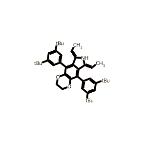 C/C=c1\[nH]/c(=C\C)c2c(-c3cc(C(C)(C)C)cc(C(C)(C)C)c3)c3c(c(-c4cc(C(C)(C)C)cc(C(C)(C)C)c4)c12)OCCO3